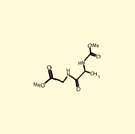 COC(=O)CNC(=O)C(C)NC(=O)OC